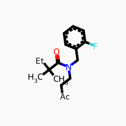 CCC(C)(C)C(=O)N(CCC(C)=O)Cc1ccccc1F